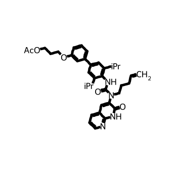 C=CCCCN(C(=O)Nc1c(C(C)C)cc(-c2cccc(OCCCOC(C)=O)c2)cc1C(C)C)c1cc2cccnc2[nH]c1=O